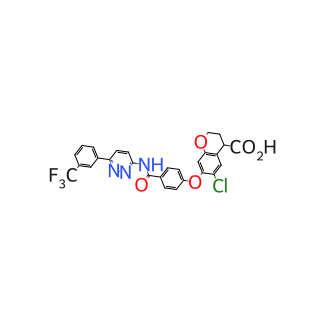 O=C(Nc1ccc(-c2cccc(C(F)(F)F)c2)nn1)c1ccc(Oc2cc3c(cc2Cl)C(C(=O)O)CCO3)cc1